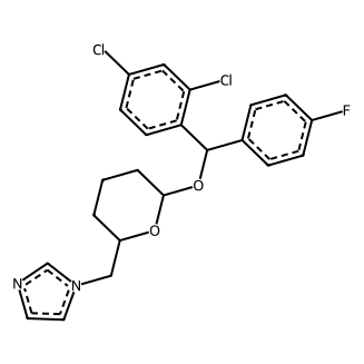 Fc1ccc(C(OC2CCCC(Cn3ccnc3)O2)c2ccc(Cl)cc2Cl)cc1